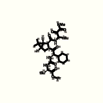 CCCCC(NC(=O)[C@@H]1[C@@H]2[C@H](CN1C(=O)[C@@H](NC(=O)N[C@H](C(=O)OC(C)C)C(C)(C)C)C1CCCCC1)C2(C)C)C(=O)C(=O)NC